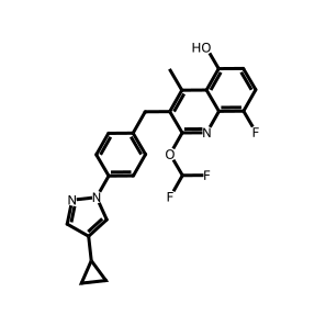 Cc1c(Cc2ccc(-n3cc(C4CC4)cn3)cc2)c(OC(F)F)nc2c(F)ccc(O)c12